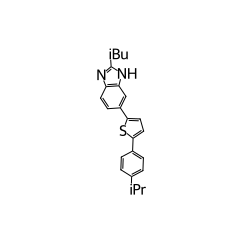 CCC(C)c1nc2ccc(-c3ccc(-c4ccc(C(C)C)cc4)s3)cc2[nH]1